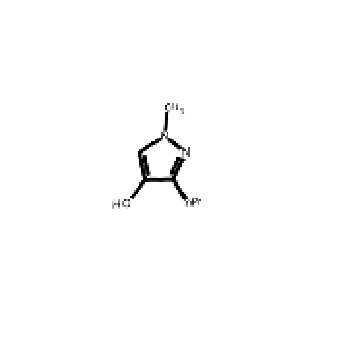 CCCc1nn(C)cc1O